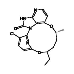 CCC1CC[C@@H](C)Oc2ccnc3[nH]c(=O)n(c23)-c2nc(ccc2Cl)O1